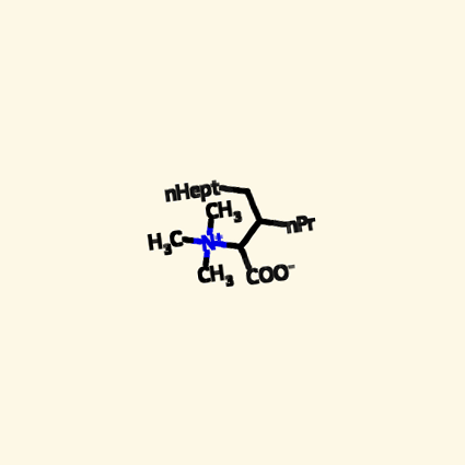 CCCCCCCCC(CCC)C(C(=O)[O-])[N+](C)(C)C